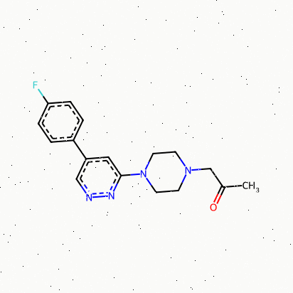 CC(=O)CN1CCN(c2cc(-c3ccc(F)cc3)cnn2)CC1